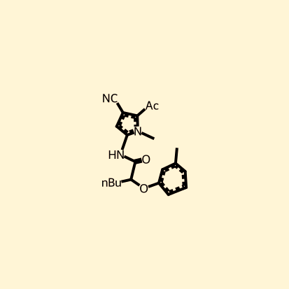 CCCCC(Oc1cccc(C)c1)C(=O)Nc1cc(C#N)c(C(C)=O)n1C